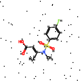 CC(=CC(=O)O)N(C)S(=O)(=O)c1ccc(F)cc1